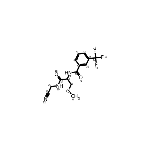 CSCC(NC(=O)c1cccc(C(F)(F)F)c1)C(=O)NCC#N